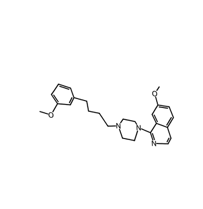 COc1cccc(CCCCN2CCN(c3nccc4ccc(OC)cc34)CC2)c1